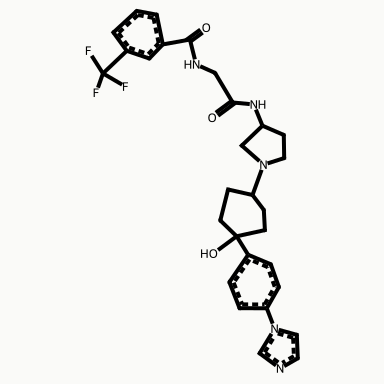 O=C(CNC(=O)c1cccc(C(F)(F)F)c1)NC1CCN(C2CCC(O)(c3ccc(-n4ccnc4)cc3)CC2)C1